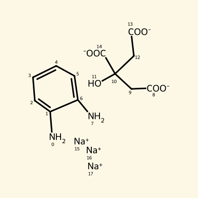 Nc1ccccc1N.O=C([O-])CC(O)(CC(=O)[O-])C(=O)[O-].[Na+].[Na+].[Na+]